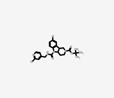 CC(C)(C)OC(=O)N1CCC2C(C1)c1cc(Cl)ccc1N2C(=O)NCc1ccnc(Cl)c1